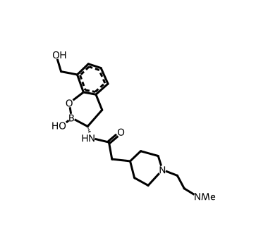 CNCCN1CCC(CC(=O)N[C@H]2Cc3cccc(CO)c3OB2O)CC1